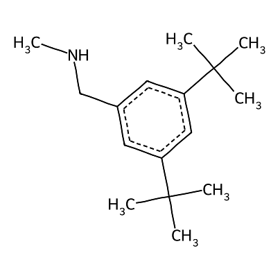 CNCc1cc(C(C)(C)C)cc(C(C)(C)C)c1